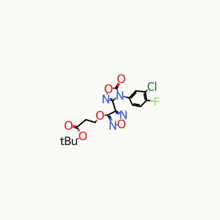 CC(C)(C)OC(=O)CCOc1nonc1-c1noc(=O)n1-c1ccc(F)c(Cl)c1